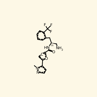 Cn1nccc1-c1ccc(C(=O)N[C@H](CN)Cc2ccccc2C(F)(F)F)o1